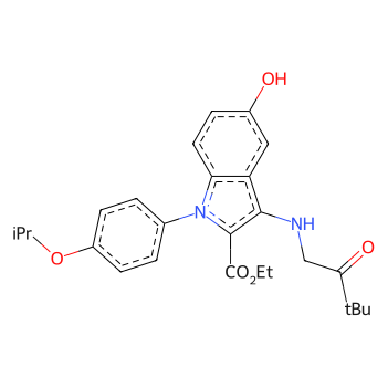 CCOC(=O)c1c(NCC(=O)C(C)(C)C)c2cc(O)ccc2n1-c1ccc(OC(C)C)cc1